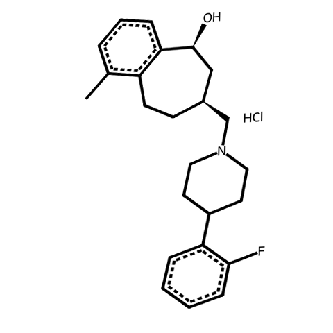 Cc1cccc2c1CC[C@H](CN1CCC(c3ccccc3F)CC1)C[C@@H]2O.Cl